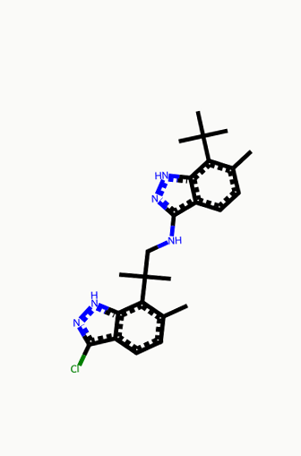 Cc1ccc2c(NCC(C)(C)c3c(C)ccc4c(Cl)n[nH]c34)n[nH]c2c1C(C)(C)C